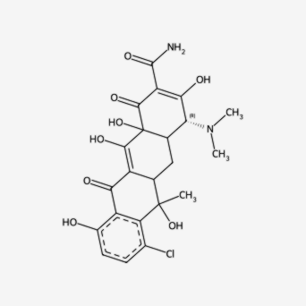 CN(C)[C@H]1C(O)=C(C(N)=O)C(=O)C2(O)C(O)=C3C(=O)c4c(O)ccc(Cl)c4C(C)(O)C3CC12